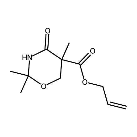 C=CCOC(=O)C1(C)COC(C)(C)NC1=O